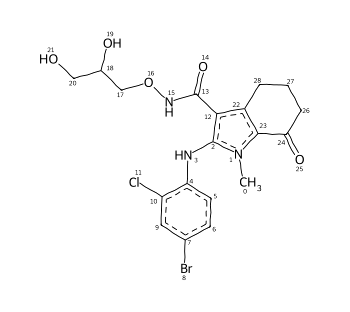 Cn1c(Nc2ccc(Br)cc2Cl)c(C(=O)NOCC(O)CO)c2c1C(=O)CCC2